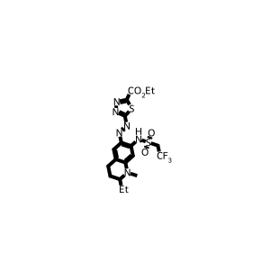 CCOC(=O)c1nnc(N=Nc2cc3c(cc2NS(=O)(=O)CC(F)(F)F)N(C)C(CC)CC3)s1